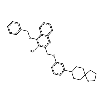 Cc1c(COc2cccc(N3CCC4(CCCO4)CC3)c2)nc2ccccc2c1OCc1ccccc1